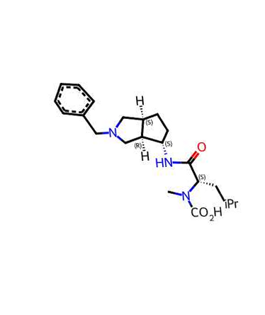 CC(C)C[C@@H](C(=O)N[C@H]1CC[C@@H]2CN(Cc3ccccc3)C[C@@H]21)N(C)C(=O)O